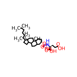 CC(C)CCCC(C)C1CCC2C3CCC4C[C@@H](OP(=O)(O)N[C@@H](CCC(=O)O)C(=O)O)CC[C@]4(C)C3CC[C@]12C